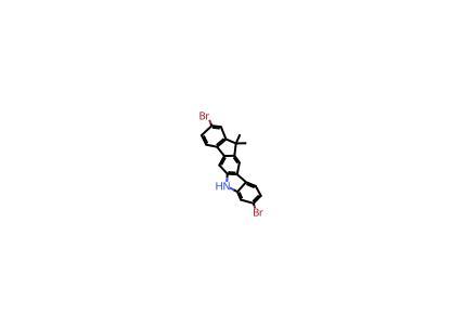 CC1(C)c2cc(Br)ccc2-c2cc3[nH]c4cc(Br)ccc4c3cc21